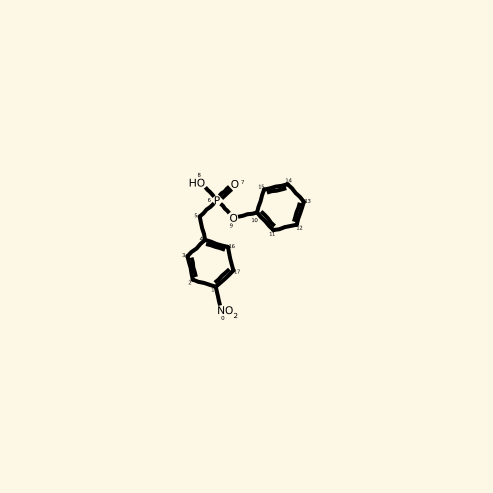 O=[N+]([O-])c1ccc(CP(=O)(O)Oc2ccccc2)cc1